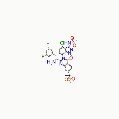 Cn1nc(NS(C)(=O)=O)c2c(Cl)ccc(-n3c([C@@H](N)Cc4cc(F)cc(F)c4)nc4cc(C(C)(C)S(C)(=O)=O)ccc4c3=O)c21